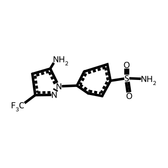 Nc1cc(C(F)(F)F)nn1-c1ccc(S(N)(=O)=O)cc1